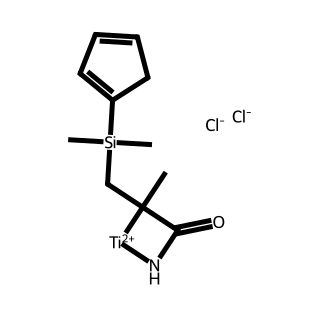 C[C]1(C[Si](C)(C)C2=CC=CC2)[Ti+2][NH]C1=O.[Cl-].[Cl-]